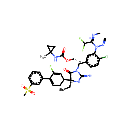 C=NN(/C(=N\C)C(F)F)c1cc([C@@H](COC(=O)NC2(C(F)(F)F)CC2)N2C(=N)N[C@](CC(C)(C)C)(C3C=C(F)C(c4cccc(S(C)(=O)=O)c4)=CC3)C2=O)ccc1Cl